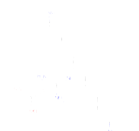 N=C(N)N.NCCCCCCCCCCN.O=C(O)O